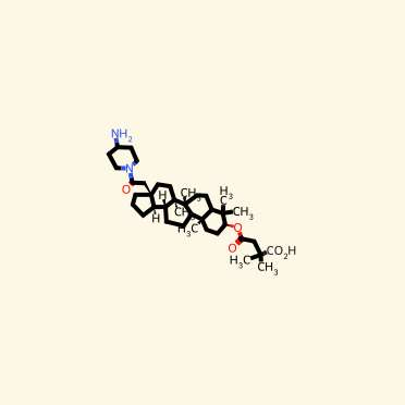 CC(C)(CC(=O)O[C@H]1CC[C@@]2(C)C(CC[C@]3(C)C2CC[C@@H]2[C@H]4CCC[C@]4(CC(=O)N4CCC(N)CC4)CC[C@]23C)C1(C)C)C(=O)O